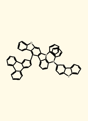 c1ccc(N(c2ccc3sc4ccccc4c3c2)c2cccc3c4c(-c5ccc6c7ccccc7c7ccccc7c6c5)c5c(cc4n(-c4ccccc4)c23)oc2ccccc25)cc1